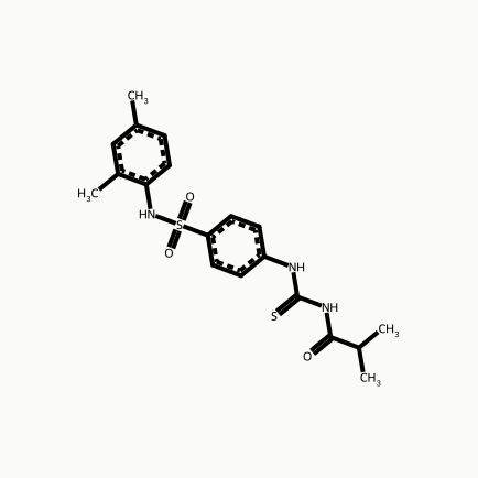 Cc1ccc(NS(=O)(=O)c2ccc(NC(=S)NC(=O)C(C)C)cc2)c(C)c1